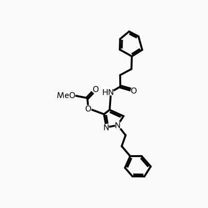 COC(=O)Oc1nn(CCc2ccccc2)cc1NC(=O)CCc1ccccc1